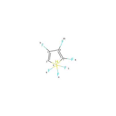 FC1=C[SH](F)(F)(F)C(F)=C1F